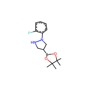 CC1(C)OB(C2CNN(c3ccccc3F)C2)OC1(C)C